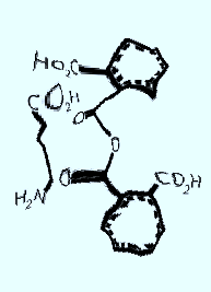 NCCCC(=O)O.O=C(O)c1ccccc1C(=O)OC(=O)c1ccccc1C(=O)O